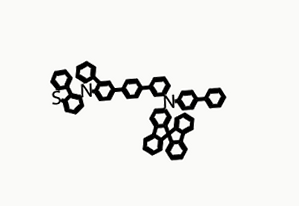 c1ccc(-c2ccc(N(c3cccc(-c4ccc(-c5ccc6c(c5)c5ccccc5n6-c5cccc6sc7ccccc7c56)cc4)c3)c3ccc4c(c3)C3(c5ccccc5-c5ccccc53)c3ccccc3-4)cc2)cc1